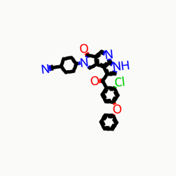 N#CC1CCC(N2Cc3c(cnc4[nH]cc(C(=O)c5ccc(Oc6ccccc6)cc5Cl)c34)C2=O)CC1